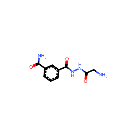 NCC(=O)NNC(=O)c1cccc(C(N)=O)c1